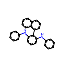 c1ccc(Nc2cccc(Nc3ccccc3)c2-c2cccc3ccccc23)cc1